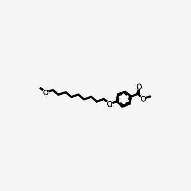 COCCCCCCCCCOc1ccc(C(=O)OC)cc1